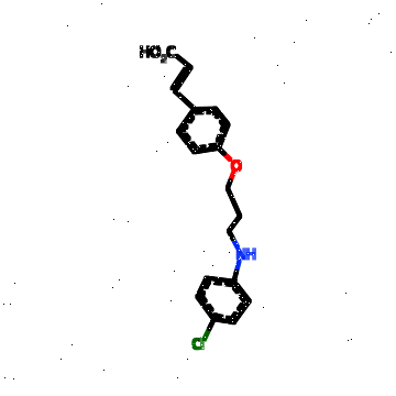 O=C(O)C=Cc1ccc(OCCCNc2ccc(Cl)cc2)cc1